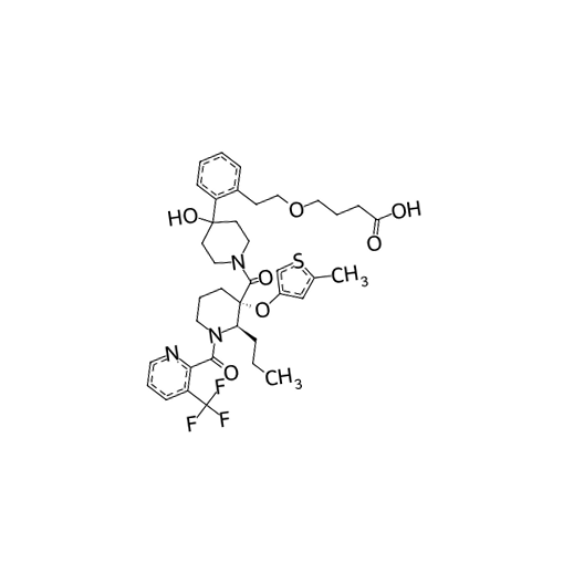 CCC[C@H]1N(C(=O)c2ncccc2C(F)(F)F)CCC[C@@]1(Oc1csc(C)c1)C(=O)N1CCC(O)(c2ccccc2CCOCCCC(=O)O)CC1